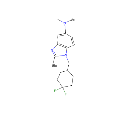 CC(=O)N(C)c1ccc2c(c1)nc(C(C)(C)C)n2CC1CCC(F)(F)CC1